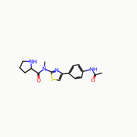 CC(=O)Nc1ccc(-c2csc(N(C)C(=O)C3CCCN3)n2)cc1